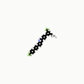 CCc1cc(-c2ccc(-c3cnc4cc(-c5ccc(-c6ccc(C(F)(F)F)cc6)cc5)ccc4c3)cc2)cc(C(F)(F)F)c1